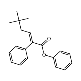 CC(C)(C)CC=C(C(=O)Oc1ccccc1)c1ccccc1